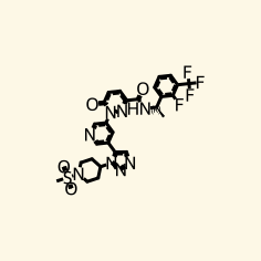 C[C@@H](NC(=O)c1ccc(=O)n(-c2cncc(-c3cnnn3C3CCN(S(C)(=O)=O)CC3)c2)n1)c1cccc(C(F)(F)F)c1F